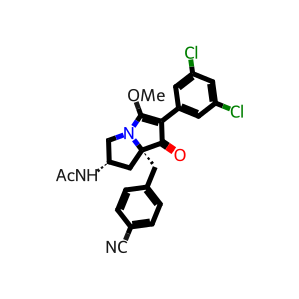 COC1=C(c2cc(Cl)cc(Cl)c2)C(=O)[C@@]2(Cc3ccc(C#N)cc3)C[C@H](NC(C)=O)CN12